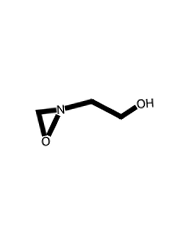 OCCN1CO1